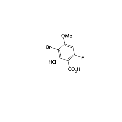 COc1cc(F)c(C(=O)O)cc1Br.Cl